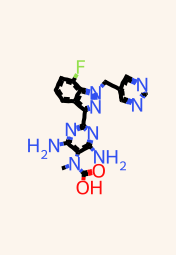 CN(C(=O)O)c1c(N)nc(-c2nn(Cc3cncnc3)c3c(F)cccc23)nc1N